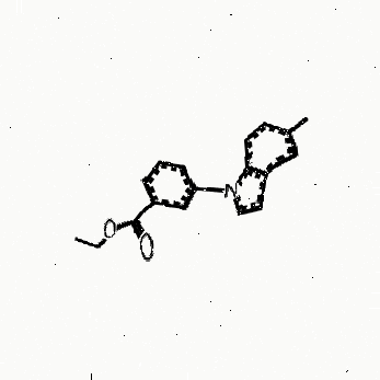 CCOC(=O)c1cccc(-n2ccc3cc(C)ccc32)c1